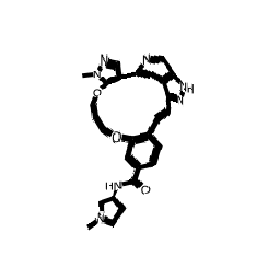 CN1CC[C@H](NC(=O)c2ccc3c(c2)OCCCOc2c(cnn2C)-c2cc4c(n[nH]c4cn2)/C=C/3)C1